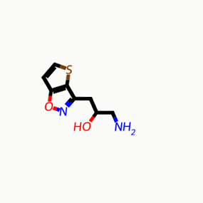 NCC(O)Cc1noc2ccsc12